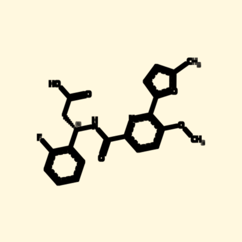 COc1ccc(C(=O)N[C@@H](CC(=O)O)c2ccccc2F)nc1-c1ccc(C)o1